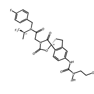 CCCN(CCO)C(=O)Nc1ccc2c(c1)CC[C@@]21OC(=O)N(CC(=O)N(Cc2ccc(F)cc2)[C@@H](C)C(F)(F)F)C1=O